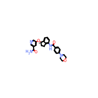 NC(=O)c1cncc(O[C@@H]2CCc3c(NC(=O)c4ccc(N5CCOCC5)cc4)cccc32)c1